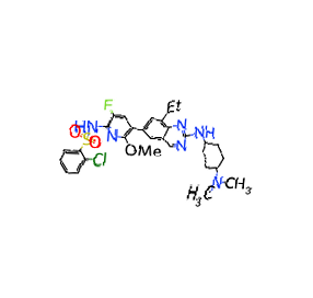 CCc1cc(-c2cc(F)c(NS(=O)(=O)c3ccccc3Cl)nc2OC)cc2cnc(NC3CCC(N(C)C)CC3)nc12